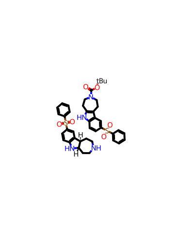 CC(C)(C)OC(=O)N1CCc2[nH]c3ccc(S(=O)(=O)c4ccccc4)cc3c2CC1.O=S(=O)(c1ccccc1)c1ccc2c(c1)[C@H]1CCNCC[C@@H]1N2